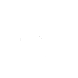 COc1ccc(CN2CCCC(CC(=O)NO)C2=O)c(OC)c1